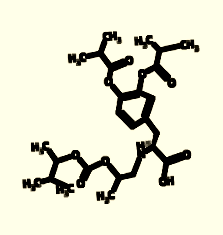 CC(CN[C@@H](Cc1ccc(OC(=O)C(C)C)c(OC(=O)C(C)C)c1)C(=O)O)OC(=O)OC(C)C(C)C